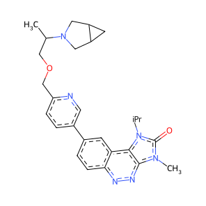 CC(COCc1ccc(-c2ccc3nnc4c(c3c2)n(C(C)C)c(=O)n4C)cn1)N1CC2CC2C1